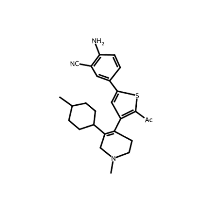 CC(=O)c1sc(-c2ccc(N)c(C#N)c2)cc1C1=C(C2CCC(C)CC2)CN(C)CC1